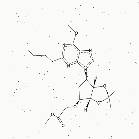 CCCSc1nc(OC)c2nnn([C@@H]3C[C@H](OCC(=O)OC)[C@H]4OC(C)(C)O[C@H]43)c2n1